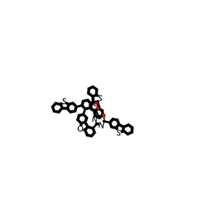 c1ccc2c(c1)oc1ccc(-c3ccc4c(c3)sc3ccccc34)c(-c3ccc4oc5cccc(-c6nc(-c7ccc8c(c7)sc7ccccc78)nc(-c7ccc8c(c7)sc7ccccc78)n6)c5c4c3)c12